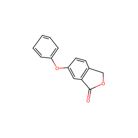 O=C1OCc2ccc(Oc3ccccc3)cc21